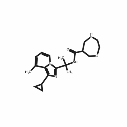 Cc1cccn2c(C(C)(C)NC(=O)C3CNCCOC3)nc(C3CC3)c12